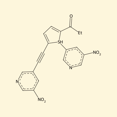 CCC(=O)C1=CC=C(C#Cc2cncc([N+](=O)[O-])c2)[SH]1c1cncc([N+](=O)[O-])c1